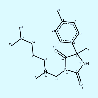 Cc1ccc(C2(C)NC(=O)N(CN(C)CCCC(C)C)C2=O)cc1